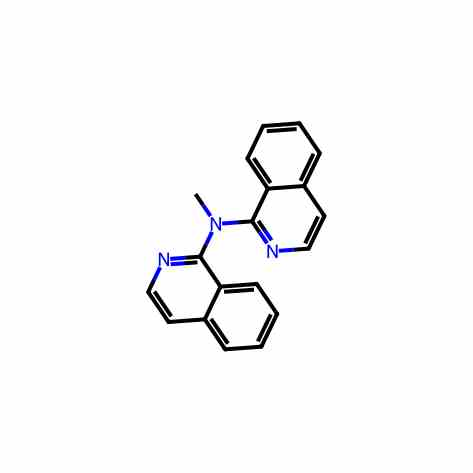 CN(c1nccc2ccccc12)c1nccc2ccccc12